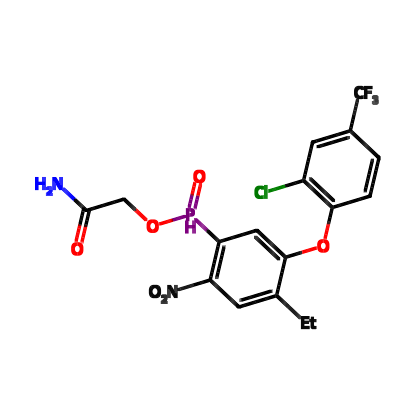 CCc1cc([N+](=O)[O-])c([PH](=O)OCC(N)=O)cc1Oc1ccc(C(F)(F)F)cc1Cl